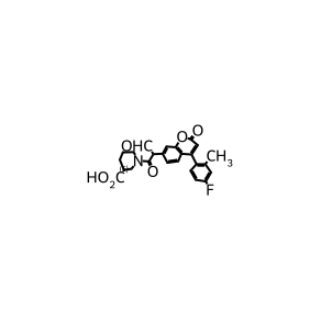 Cc1cc(F)ccc1-c1cc(=O)oc2cc(C(C=O)C(=O)N3CCC[C@H](C(=O)O)C3)ccc12